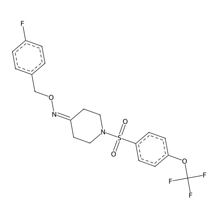 O=S(=O)(c1ccc(OC(F)(F)F)cc1)N1CCC(=NOCc2ccc(F)cc2)CC1